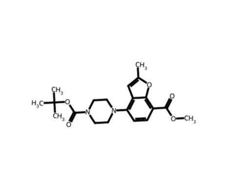 COC(=O)c1ccc(N2CCN(C(=O)OC(C)(C)C)CC2)c2cc(C)oc12